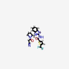 N#CCC(=O)N1CCC[C@H]1Cn1c(NC(=O)c2ccc(C(F)F)s2)nc2ccccc21